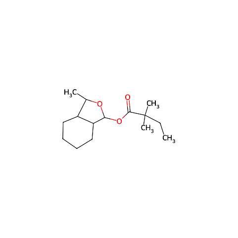 CCC(C)(C)C(=O)OC1OC(C)C2CCCCC12